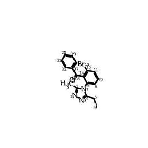 Cc1nnc(CI)n1-c1cccc(Br)c1C(=O)c1ccccc1